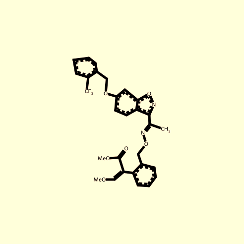 COC=C(C(=O)OC)c1ccccc1CON=C(C)c1noc2cc(OCc3ccccc3C(F)(F)F)ccc12